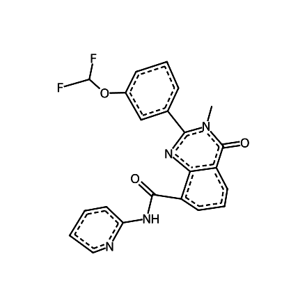 Cn1c(-c2cccc(OC(F)F)c2)nc2c(C(=O)Nc3ccccn3)cccc2c1=O